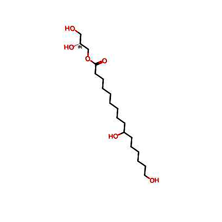 O=C(CCCCCCCCC(O)CCCCCCO)OC[C@H](O)CO